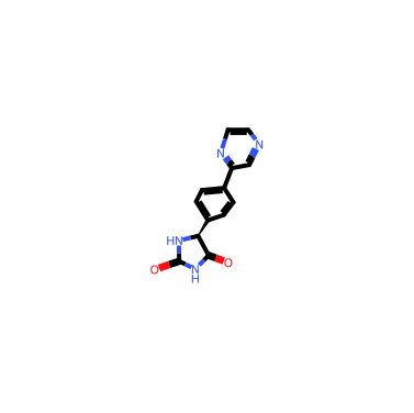 O=C1NC(=O)[C@H](c2ccc(-c3cnccn3)cc2)N1